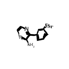 Nc1nccnc1-c1cccc(Br)c1